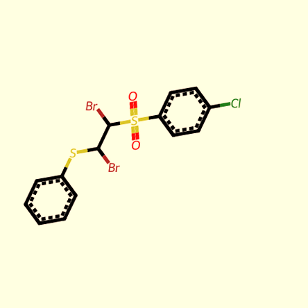 O=S(=O)(c1ccc(Cl)cc1)C(Br)C(Br)Sc1ccccc1